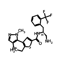 CCc1sc(C(=O)N[C@H](CN)Cc2ccccc2C(F)(F)F)cc1-c1c(Br)cnn1C